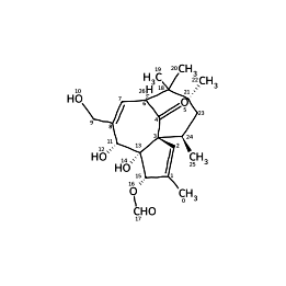 CC1=C[C@]23C(=O)[C@@H](C=C(CO)[C@@H](O)[C@]2(O)[C@H]1OC=O)C(C)(C)[C@H](C)C[C@H]3C